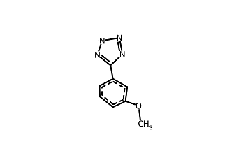 COc1cccc(C2=N[N]N=N2)c1